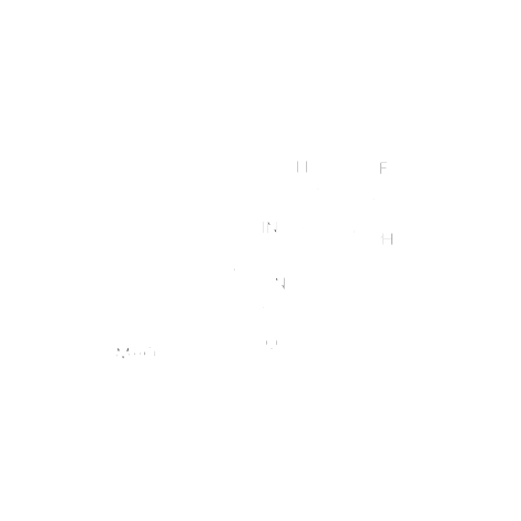 COC1CCC2(CC1)SC(N[C@H]1C[C@H]3C[C@@H]1CC3(F)F)=NC2=O